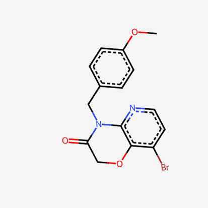 COc1ccc(CN2C(=O)COc3c(Br)ccnc32)cc1